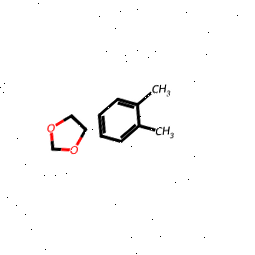 C1COCO1.Cc1ccccc1C